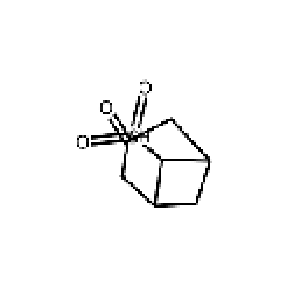 O=C1CC2CC(C1)C2[SH](=O)=O